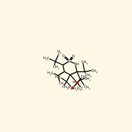 CC(C)C1C(C(C)(C)C)S(=O)(=O)NC(C(C)(C)C)(C(C)(C)C)C1(C(C)(C)C)C(C)(C)C